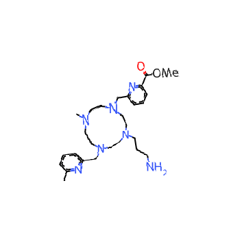 COC(=O)c1cccc(CN2CCN(C)CCN(Cc3cccc(C)n3)CCN(CCCN)CC2)n1